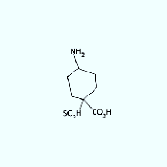 NC1CCC(C(=O)O)(S(=O)(=O)O)CC1